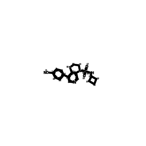 N#Cc1ccc(-c2cncc3c2SCCN3S(=O)(=O)NC2CCC2)cc1